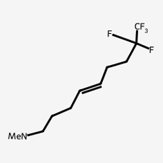 CNCCC/C=C/CCC(F)(F)C(F)(F)F